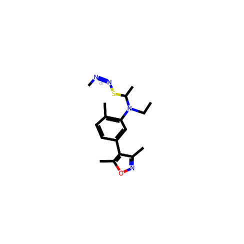 CCN(c1cc(-c2c(C)noc2C)ccc1C)C(C)S/N=N\C